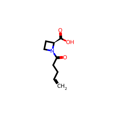 C=CCCC(=O)N1CC[C@H]1C(=O)O